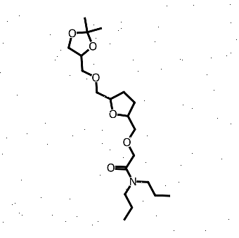 CCCN(CCC)C(=O)COCC1CCC(COCC2COC(C)(C)O2)O1